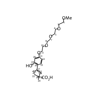 COCCOCCOCCOCCOc1ccc(C2=N[C@@](C)(C(=O)O)CS2)c(O)c1